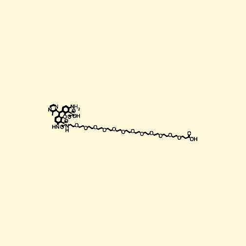 Cc1nccnc1-c1c2ccc(=N)c(S(=O)(=O)NCCOCCOCCOCCOCCOCCOCCOCCOCCOCCOCCOCCOCCC(=O)O)c-2oc2c(S(=O)(=O)O)c(N)ccc12